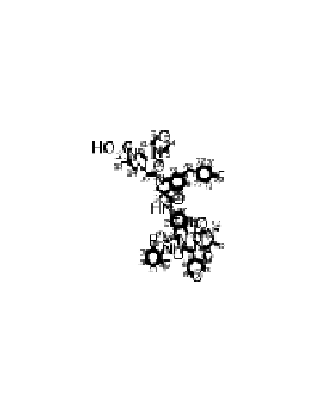 C[C@@H]1COCCN1C[C@H]1CN(C(=O)O)[C@H](C)CN1CC(=O)N1C[C@@](C)(C(=O)Nc2ccc3c(c2)[C@@H](C(=O)Nc2c(F)cccc2F)N(C(=O)[C@@H](NC(=O)[C@H](C)N(C)C(=O)OC(C)(C)C)C2CCOCC2)C3)c2ccc(Cc3ccc(F)cc3)cc21